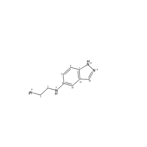 CC(C)CCNc1ccc2[nH]ncc2c1